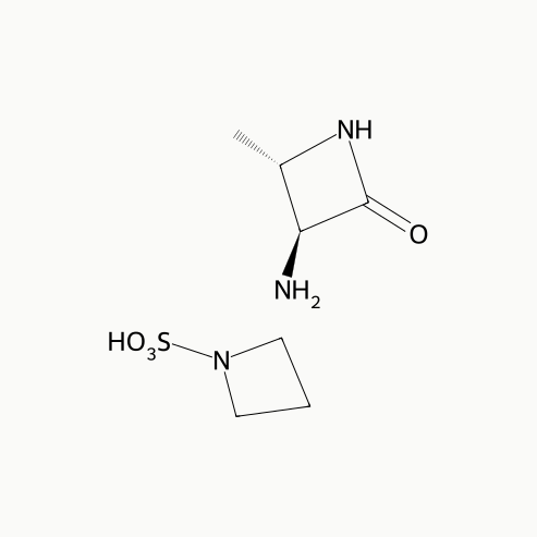 C[C@@H]1NC(=O)[C@H]1N.O=S(=O)(O)N1CCC1